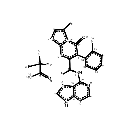 Cc1csc2nc(C(C)Nc3ncnc4[nH]cnc34)c(-c3ccccc3F)c(=O)n12.O=C(O)C(F)(F)F